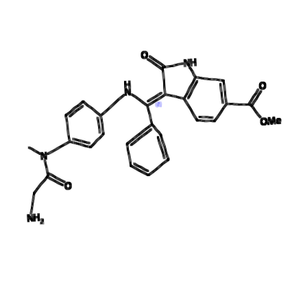 COC(=O)c1ccc2c(c1)NC(=O)/C2=C(\Nc1ccc(N(C)C(=O)CN)cc1)c1ccccc1